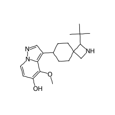 COc1c(O)ccn2ncc(C3CCC4(CC3)CNC4C(C)(C)C)c12